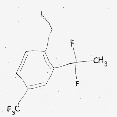 CC(F)(F)c1cc(C(F)(F)F)ccc1CI